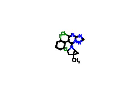 CC12CCN(c3c(-c4c(F)cccc4Cl)c(Cl)nc4ncnn34)C1C2